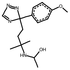 COc1ccc(C2(CCC(C)(C)NC(C)O)N=CN=N2)cc1